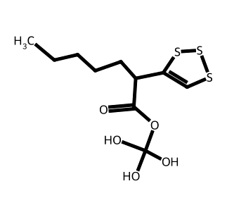 CCCCCC(C(=O)OC(O)(O)O)C1=CSSS1